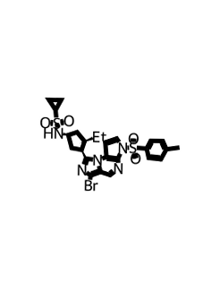 CC[C@@H]1C[C@H](NS(=O)(=O)C2CC2)C[C@@H]1c1nc(Br)c2cnc3c(ccn3S(=O)(=O)c3ccc(C)cc3)n12